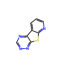 c1cnc2sc3nncnc3c2c1